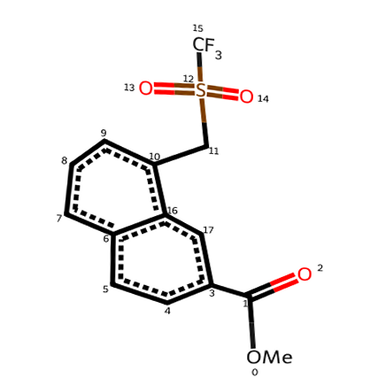 COC(=O)c1ccc2cccc(CS(=O)(=O)C(F)(F)F)c2c1